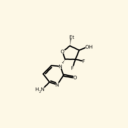 CC[C@H]1O[C@@H](n2ccc(N)nc2=O)C(F)(F)C1O